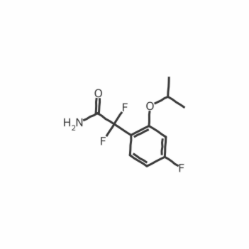 CC(C)Oc1cc(F)ccc1C(F)(F)C(N)=O